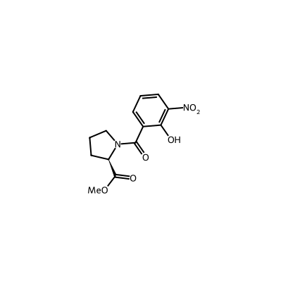 COC(=O)[C@H]1CCCN1C(=O)c1cccc([N+](=O)[O-])c1O